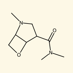 CN(C)C(=O)C1CN(C)C2COC12